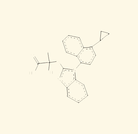 CC(C)(Sc1nc2ccccc2n1-c1ccc(C2CC2)c2ccccc12)C(=O)O